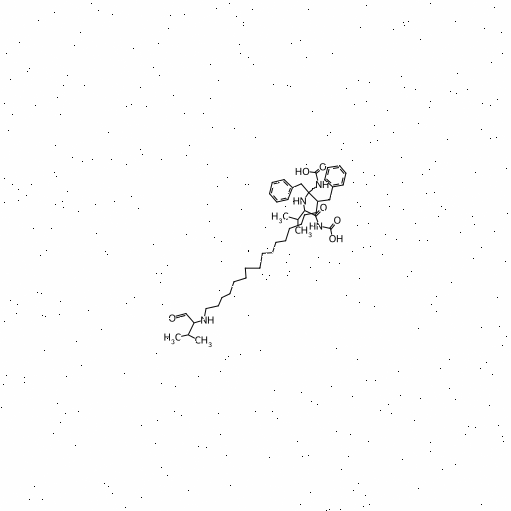 CC(C)C(C=O)NCCCCCCCCCCCCCCCCC(Cc1ccccc1)C(Cc1ccccc1)(NC(=O)O)NC(C(=O)NC(=O)O)C(C)C